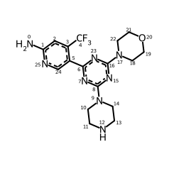 Nc1cc(C(F)(F)F)c(-c2nc(N3CCNCC3)nc(N3CCOCC3)n2)cn1